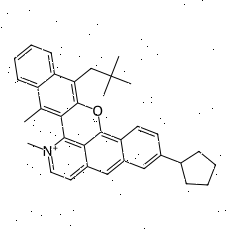 Cc1c2c(c(CC(C)(C)C)c3ccccc13)Oc1c3ccc(C4CCCC4)cc3cc3cc[n+](C)c-2c13